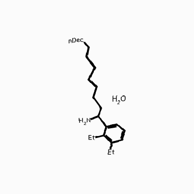 CCCCCCCCCCCCCCCCCC(N)c1cccc(CC)c1CC.O